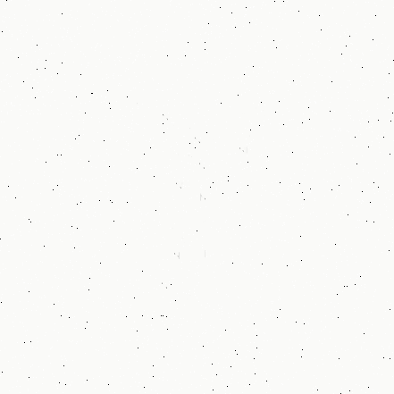 CCN(CC)c1cc2cnc(Nc3ccc(N4CCNC(C)C4)c(F)c3)nc2n(C2CNc3ccccc3C2)c1=O